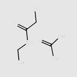 CC(=O)O.CCNC(=O)CC